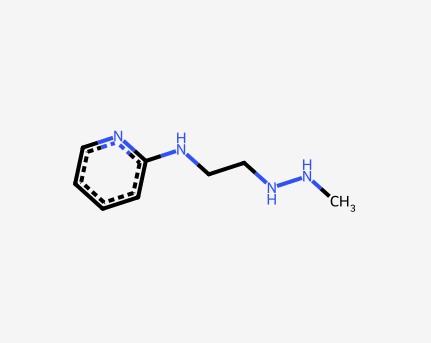 CNNCCNc1ccccn1